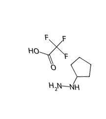 NNC1CCCC1.O=C(O)C(F)(F)F